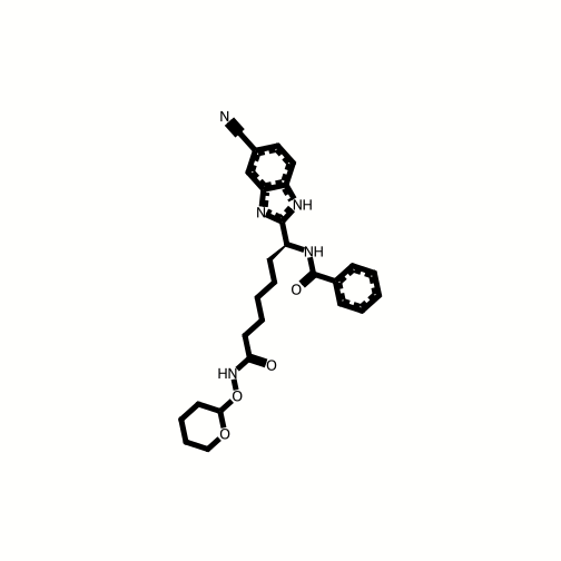 N#Cc1ccc2[nH]c([C@H](CCCCCC(=O)NOC3CCCCO3)NC(=O)c3ccccc3)nc2c1